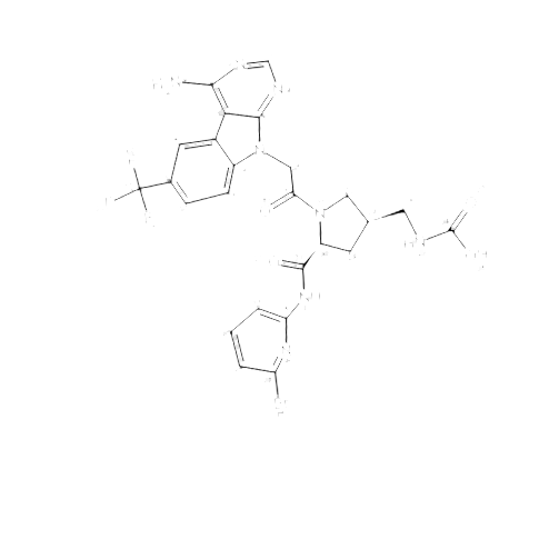 Nc1ncnc2c1c1cc(C(F)(F)F)ccc1n2CC(=O)N1C[C@@H](CNC(=O)O)C[C@H]1C(=O)Nc1cccc(Br)n1